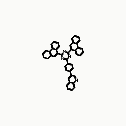 C1=Cc2c(cc(-c3nc(-c4ccc(-c5cnc6ccccc6c5)cc4)nc(-c4cc5ccccc5c5ccccc45)n3)c3ccccc23)CC1